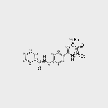 CCN(NC(=O)c1ccc(CNC(=O)c2ccccc2)cc1)C(=O)OC(C)(C)C